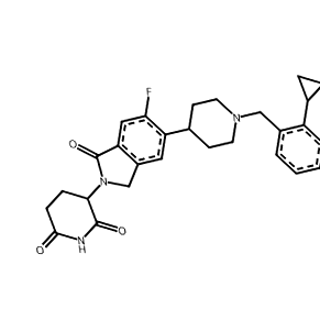 O=C1CCC(N2Cc3cc(C4CCN(Cc5ccccc5C5CC5)CC4)c(F)cc3C2=O)C(=O)N1